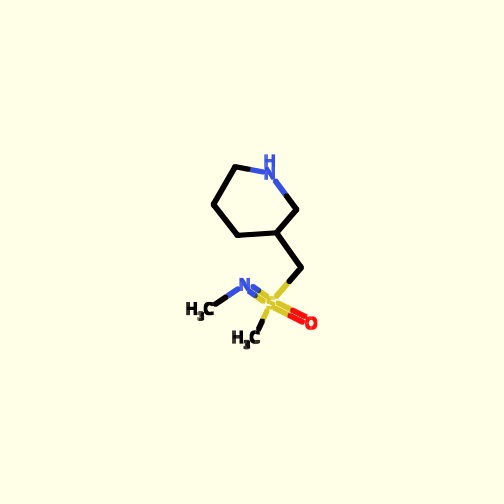 CN=S(C)(=O)CC1CCCNC1